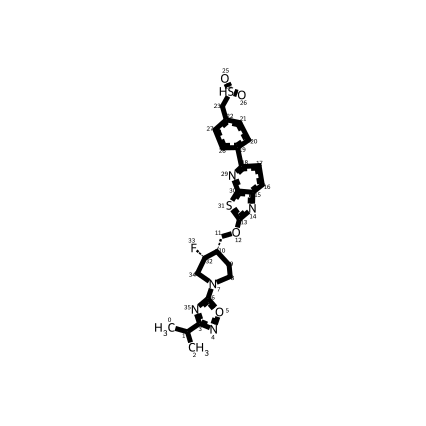 CC(C)c1noc(N2CC[C@@H](COc3nc4ccc(-c5ccc(C[SH](=O)=O)cc5)nc4s3)[C@@H](F)C2)n1